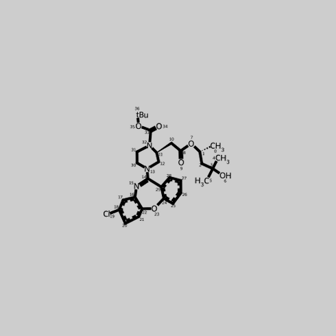 C[C@H](CC(C)(C)O)OC(=O)C[C@H]1CN(C2=Nc3cc(Cl)ccc3Oc3ccccc32)CCN1C(=O)OC(C)(C)C